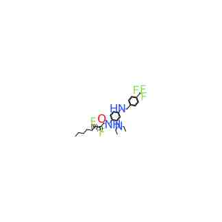 CCCCC[C@@H](F)[C@@H](F)C(=O)Nc1ccc(NCc2ccc(C(F)(F)F)cc2)cc1N(CC)CC